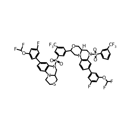 O=S(=O)(c1cc(C2CN3c4ccc(-c5cc(F)cc(OC(F)F)c5)cc4N(S(=O)(=O)c4cccc(C(F)(F)F)c4)C[C@@H]3CO2)cc(C(F)(F)F)c1)N1CC2CSCCN2c2ccc(-c3cc(F)cc(OC(F)F)c3)cc21